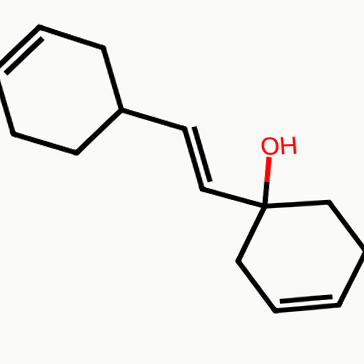 OC1(C=CC2CC=CCC2)CC=CCC1